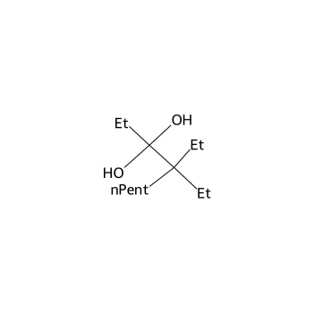 CCCCCC(CC)(CC)C(O)(O)CC